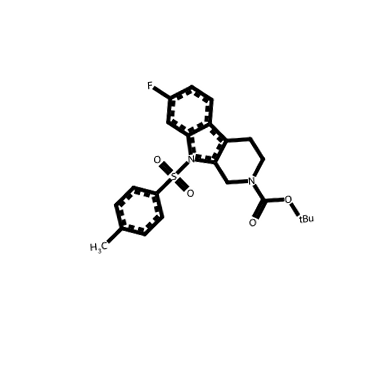 Cc1ccc(S(=O)(=O)n2c3c(c4ccc(F)cc42)CCN(C(=O)OC(C)(C)C)C3)cc1